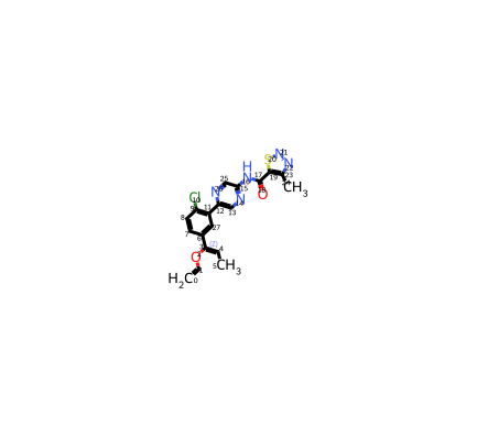 C=CO/C(=C\C)c1ccc(Cl)c(-c2cnc(NC(=O)c3snnc3C)cn2)c1